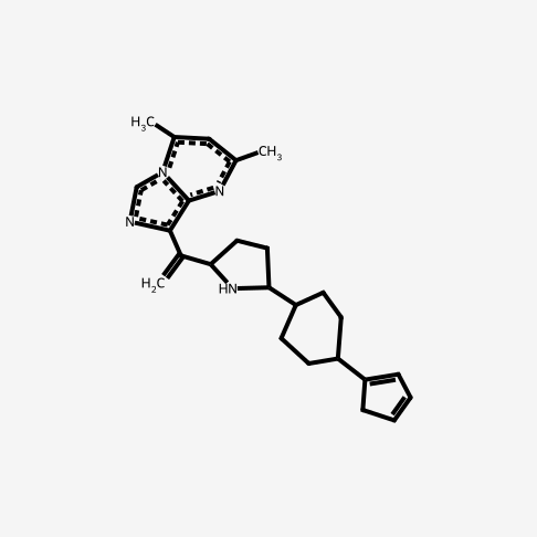 C=C(c1ncn2c(C)cc(C)nc12)C1CCC(C2CCC(C3=CC=CC3)CC2)N1